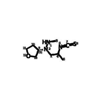 CNN(CC(C)N=C=S)[C@H]1CCOC1